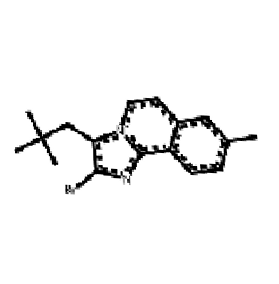 Cc1ccc2c(ccn3c(CC(C)(C)C)c(Br)nc23)c1